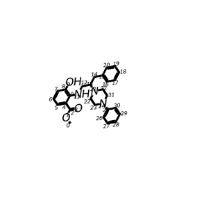 COC(=O)c1cccc(O)c1NCC(Cc1ccccc1)N1CCN(c2ccccc2)CC1